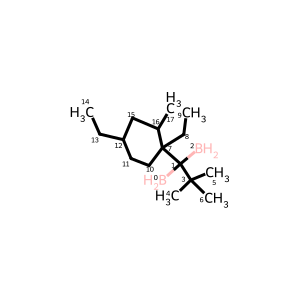 BC(B)(C(C)(C)C)C1(CC)CCC(CC)CC1C